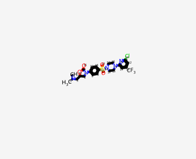 CN(C)CC1CN(c2ccc(S(=O)(=O)N3CCN(c4cc(C(F)(F)F)cc(Cl)n4)CC3)cc2)C(=O)O1